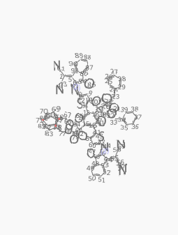 N#CC(C#N)=C1/C(=N/c2cc3c(s2)-c2cc4c(cc2C(C(=O)OCc2ccccc2)(C(=O)OCc2ccccc2)O3)-c2sc(/N=C3\C(=O)c5ccccc5C3=C(C#N)C#N)cc2OC4(C(=O)OCc2ccccc2)C(=O)OCc2ccccc2)C(=O)c2ccccc21